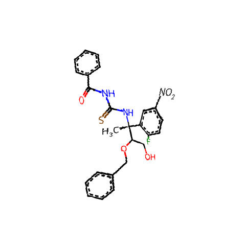 C[C@@](NC(=S)NC(=O)c1ccccc1)(c1cc([N+](=O)[O-])ccc1F)C(CO)OCc1ccccc1